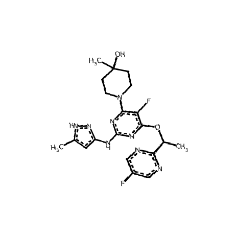 Cc1cc(Nc2nc(OC(C)c3ncc(F)cn3)c(F)c(N3CCC(C)(O)CC3)n2)n[nH]1